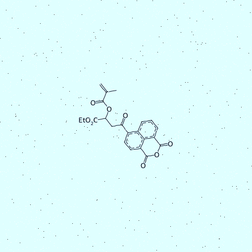 C=C(C)C(=O)OC(CC(=O)c1ccc2c3c(cccc13)C(=O)OC2=O)C(=O)OCC